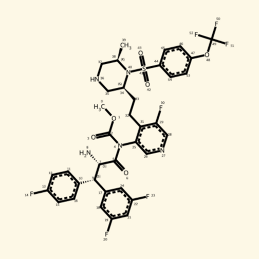 COC(=O)N(C(=O)[C@@H](N)[C@@H](c1ccc(F)cc1)c1cc(F)cc(F)c1)c1cncc(F)c1CC[C@H]1CNC[C@@H](C)N1S(=O)(=O)c1ccc(OC(F)(F)F)cc1